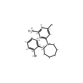 Cc1cc(N2CCCCC[C@H]2c2ccccc2Br)nc(N)n1